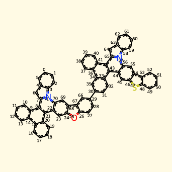 c1ccc2c(c1)cc1c3c4ccccc4c4ccccc4c3c3cc4oc5ccc(-c6ccc7c(c6)c6ccccc6c6c7c7cc8sc9ccccc9c8cc7n7c8ccccc8cc67)cc5c4cc3n21